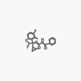 Cc1c(F)cccc1C1(C(F)F)N=C(NC(=O)c2ccccc2)OC2CC21